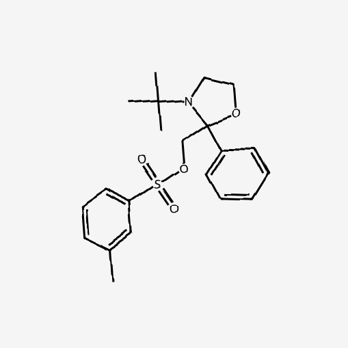 Cc1cccc(S(=O)(=O)OCC2(c3ccccc3)OCCN2C(C)(C)C)c1